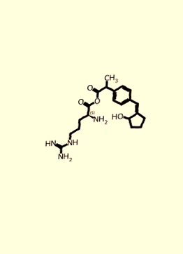 CC(C(=O)OC(=O)[C@@H](N)CCCNC(=N)N)c1ccc(C=C2CCCC2O)cc1